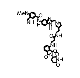 CNc1ccc(C(=O)Nc2ccc3[nH]c(CN4CCC(CCNC(=O)CCNc5cccc6c5C(=O)N(C5CCC(=O)NC5=O)C6=O)C4)nc3c2)cc1C=N